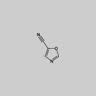 N#Cc1[c]nco1